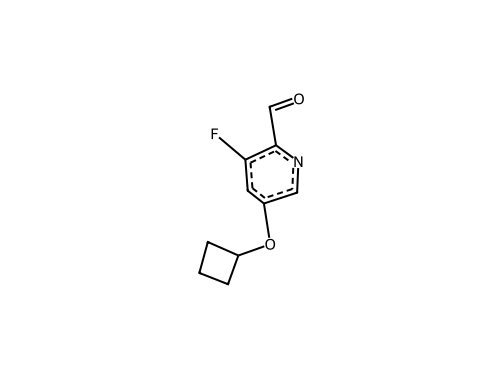 O=Cc1ncc(OC2CCC2)cc1F